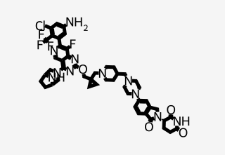 Nc1cc(Cl)c(C(F)(F)F)c(-c2ncc3c(N4CC5CCC(C4)N5)nc(OCC4(CN5CCC(CN6CCN(c7ccc8c(c7)CN([C@H]7CCC(=O)NC7=O)C8=O)CC6)CC5)CC4)nc3c2F)c1